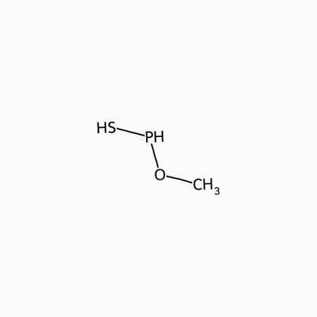 COPS